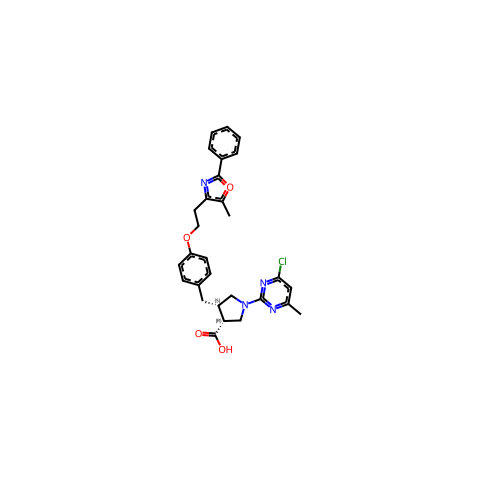 Cc1cc(Cl)nc(N2C[C@@H](Cc3ccc(OCCc4nc(-c5ccccc5)oc4C)cc3)[C@@H](C(=O)O)C2)n1